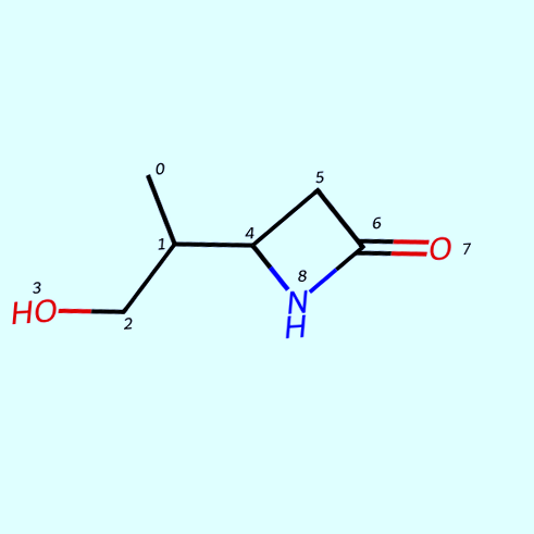 CC(CO)C1CC(=O)N1